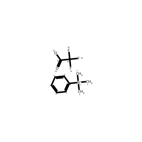 C[N+](C)(C)c1ccccc1.O=C([O-])C(F)(F)F